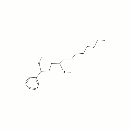 CCCCCCCCC(CCC(OC)c1ccccc1)OC